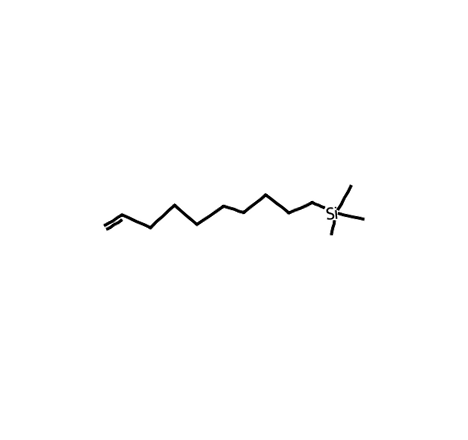 C=CCCCCCCCC[Si](C)(C)C